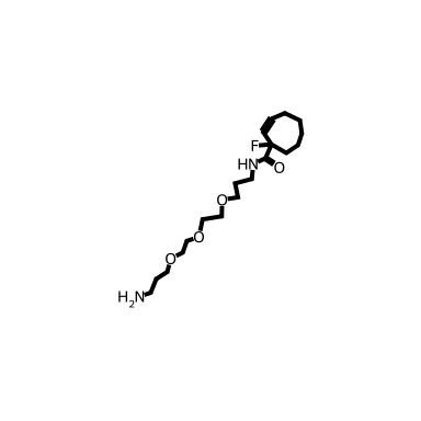 NCCCOCCOCCOCCCNC(=O)C1(F)C#CCCCCC1